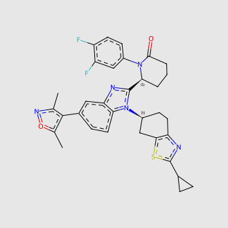 Cc1noc(C)c1-c1ccc2c(c1)nc([C@@H]1CCCC(=O)N1c1ccc(F)c(F)c1)n2[C@H]1CCc2nc(C3CC3)sc2C1